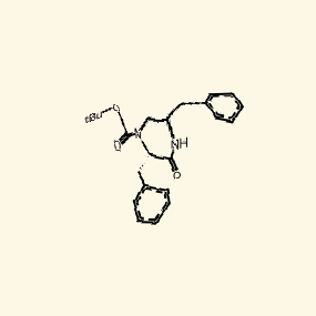 CC(C)(C)OC(=O)N1CC(Cc2ccccc2)NC(=O)[C@@H]1Cc1ccccc1